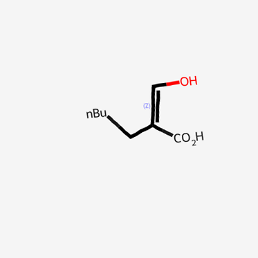 CCCCC/C(=C/O)C(=O)O